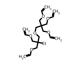 C=COCC(CC)(COC=C)COCC(COC=C)(COC=C)COC=C